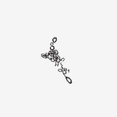 CC(C)(C)OC(=O)N[C@@H](CCCCNC(=O)OCc1ccccc1)C(=O)N1CCC(C(=O)NOC2CCCCO2)(S(=O)(=O)c2ccc(Oc3ccccc3)cc2)CC1